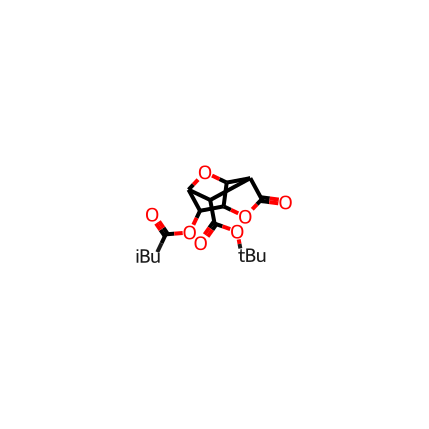 CCC(C)C(=O)OC1C2OC(=O)C3C2OC1C3C(=O)OC(C)(C)C